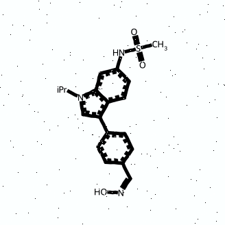 CC(C)n1cc(-c2ccc(/C=N\O)cc2)c2ccc(NS(C)(=O)=O)cc21